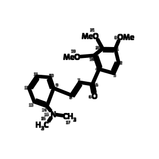 COc1ccc(C(=O)C=Cc2ccccc2N(C)C)c(OC)c1OC